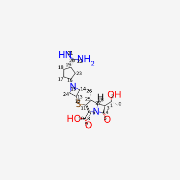 C[C@@H](O)[C@H]1C(=O)N2C(C(=O)O)=C(SC3CN([C@@H]4CC[C@H](C(=N)N)C4)C3)[C@H](C)[C@H]12